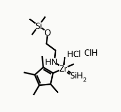 CC1=C(C)C(C)[C]([Zr]([CH3])([CH3])(=[SiH2])[NH]CCO[Si](C)(C)C)=C1C.Cl.Cl